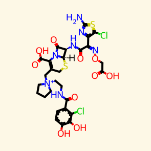 Nc1nc(/C(=N/OCC(=O)O)C(=O)N[C@@H]2C(=O)N3C(C(=O)O)=C(C[N+]4(CCNC(=O)c5ccc(O)c(O)c5Cl)CCCC4)CS[C@H]23)c(Cl)s1